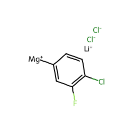 Fc1c[c]([Mg+])ccc1Cl.[Cl-].[Cl-].[Li+]